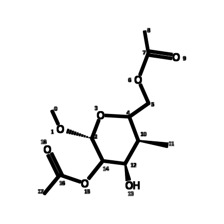 CO[C@@H]1OC(COC(C)=O)[C@@H](C)[C@@H](O)C1OC(C)=O